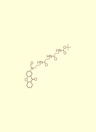 CC(C)(C)OC(=O)NCCC(=O)NCCC(=O)NCCCN(C=O)c1ccc2oc3ccccc3c(=O)c2c1